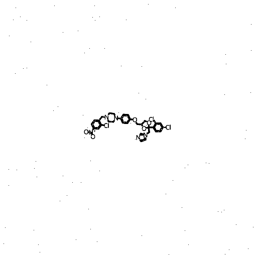 O=[N+]([O-])c1ccc(CN2CCN(c3ccc(OCC4COC(Cn5ccnc5)(c5ccc(Cl)cc5Cl)O4)cc3)CC2)c(Cl)c1